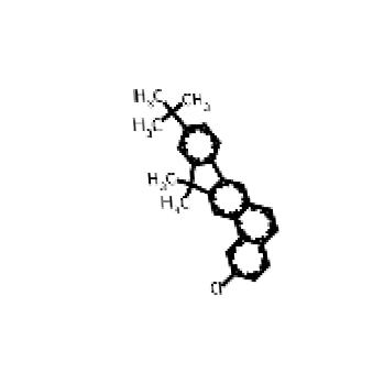 CC(C)(C)c1ccc2c(c1)C(C)(C)c1cc3c(ccc4ccc(Cl)cc43)cc1-2